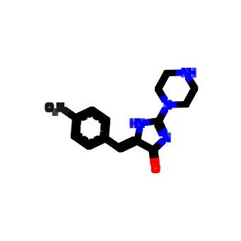 O=C1N=C(N2CCNCC2)NC1=Cc1ccc([N+](=O)[O-])cc1